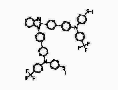 FC(F)(F)c1ccc(N(c2ccc(SI)cc2)c2ccc(-c3ccc(-c4nc5ccccc5n4-c4ccc(-c5ccc(N(c6ccc(SI)cc6)c6ccc(C(F)(F)F)cc6)cc5)cc4)cc3)cc2)cc1